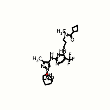 Cc1nn(C2CC3CCC(C2)N3C)cc1Nc1ncc(C(F)(F)F)c(NCCCN(C)C(=O)C2CCC2)n1